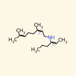 C/C=C(/CCC)NC/C=C(/C)CCC=C(C)C